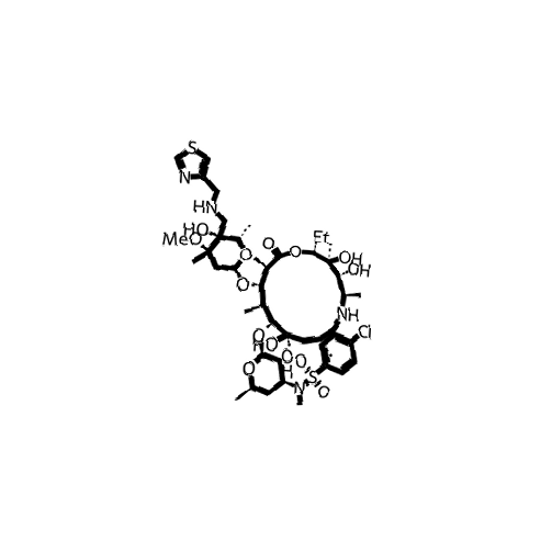 CC[C@H]1OC(=O)[C@H](C)[C@@H](O[C@H]2C[C@@](C)(OC)[C@](O)(CNCc3cscn3)[C@H](C)O2)[C@H](C)[C@@H](O[C@@H]2O[C@H](C)C[C@H](N(C)S(=O)(=O)c3ccc(Cl)cc3)[C@H]2O)[C@](C)(O)C[C@@H](C)CN[C@H](C)[C@@H](O)[C@]1(C)O